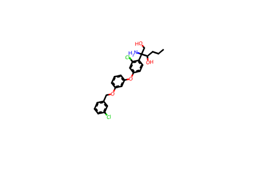 CCCC(O)C(N)(CO)c1ccc(Oc2cccc(OCc3cccc(Cl)c3)c2)cc1Cl